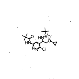 CC(C)(C)C(=O)Nc1cc(C(COC2CC2)N[S@+]([O-])C(C)(C)C)c(Cl)nn1